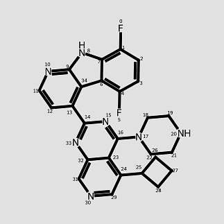 Fc1ccc(F)c2c1[nH]c1nccc(-c3nc(N4CCNCC4)c4c(C5CCC5)cncc4n3)c12